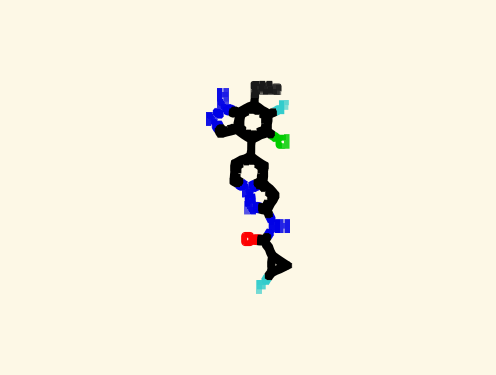 CSc1c(F)c(Cl)c(-c2ccn3nc(NC(=O)C4CC4F)cc3c2)c2cn[nH]c12